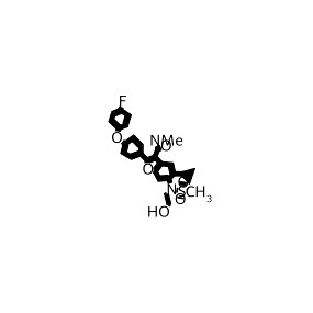 CNC(=O)c1c(-c2ccc(Oc3ccc(F)cc3)cc2)oc2cc(N(CCO)S(C)(=O)=O)c(C3CC3)cc12